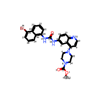 CC(C)(C)OC(=O)N1CCN(c2ccnc3ccc(NC(=O)Nc4cccc5c(Br)cccc45)cc23)CC1